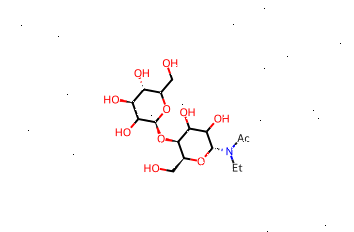 CCN(C(C)=O)[C@@H]1O[C@@H](CO)[C@@H](O[C@@H]2OC(CO)[C@@H](O)[C@H](O)C2O)C(O)C1O